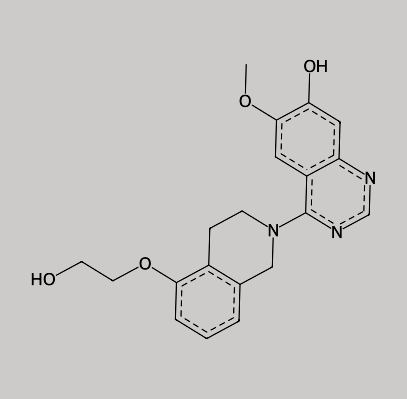 COc1cc2c(N3CCc4c(cccc4OCCO)C3)ncnc2cc1O